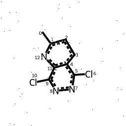 Cc1ccc2c(Cl)nnc(Cl)c2n1